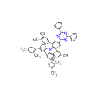 N#Cc1cc(C#N)cc(-c2cc(-c3nc(-c4ccccc4)nc(-c4ccccc4)n3)cc(-c3ccc(C#N)c(C#N)c3)c2-n2c3ccc(-c4ccc(C(F)(F)F)cc4C(F)(F)F)cc3c3cc(-c4ccc(C(F)(F)F)cc4C(F)(F)F)ccc32)c1